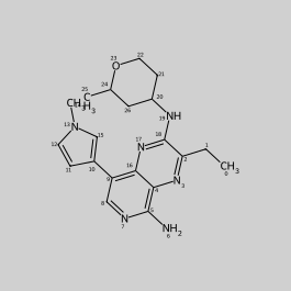 CCc1nc2c(N)ncc(-c3ccn(C)c3)c2nc1NC1CCOC(C)C1